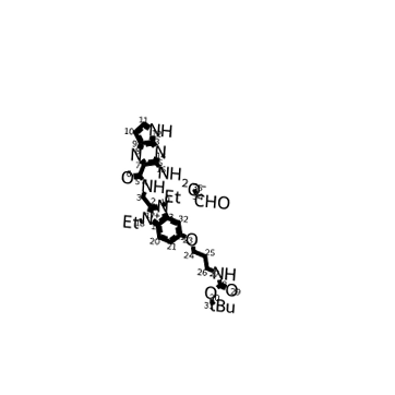 CCn1c(CNC(=O)c2nc3cc[nH]c3nc2N)[n+](CC)c2ccc(OCCCNC(=O)OC(C)(C)C)cc21.O=C[O-]